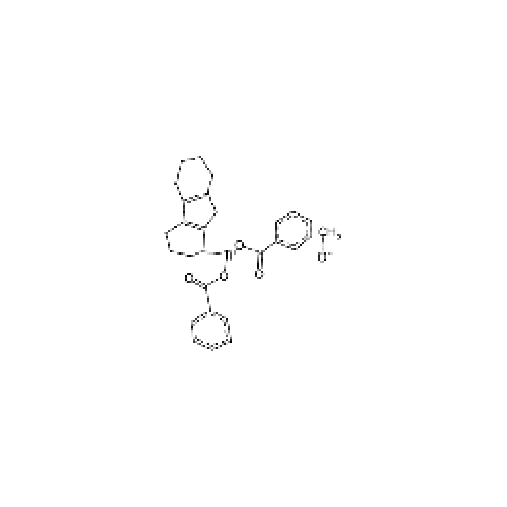 C[O-].O=C([O][Ti+]([O]C(=O)c1ccccc1)[CH]1CCCC2=C1CC1=C2CCCC1)c1ccccc1